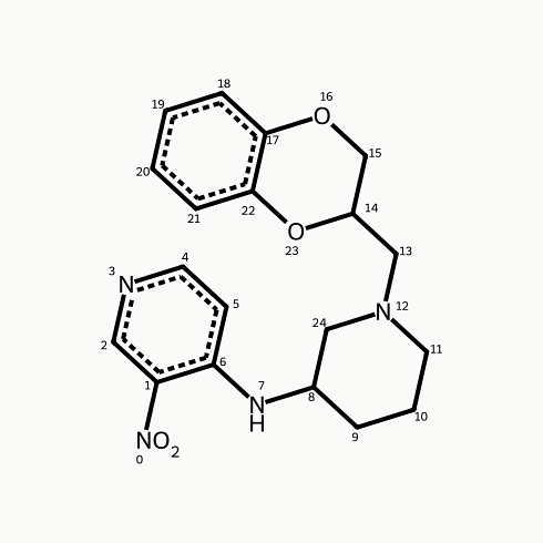 O=[N+]([O-])c1cnccc1NC1CCCN(CC2COc3ccccc3O2)C1